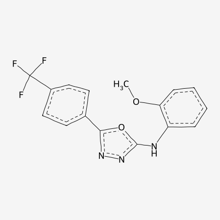 COc1ccccc1Nc1nnc(-c2ccc(C(F)(F)F)cc2)o1